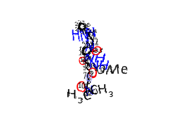 COC(=O)N[C@@H](CC/C=C/C(=O)N(C)C)C(=O)Nc1cccn(Cc2nc3ccccc3[nH]2)c1=O